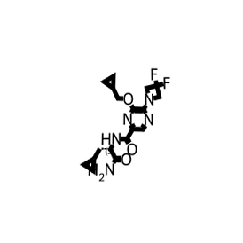 NC(=O)[C@H](CC1CC1)NC(=O)c1cnc(N2CC(F)(F)C2)c(OCC2CC2)n1